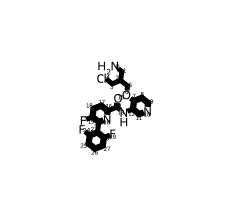 NCC(CCl)COc1ccncc1NC(=O)c1ccc(F)c(-c2c(F)cccc2F)n1